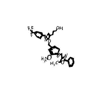 COc1cc(COc2nn(-c3ccc(C(F)(F)F)cc3)cc2/C=C/CO)ccc1OCc1nc(-c2ccccc2)oc1C